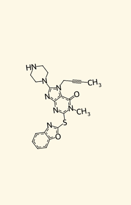 CC#CCn1c(N2CCNCC2)nc2nc(Sc3nc4ccccc4o3)n(C)c(=O)c21